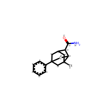 CCC12CC3CC(c4ccccc4)(CC1C3C(N)=O)C2